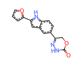 O=C1NN=C(c2ccc3[nH]c(-c4ccco4)cc3c2)CO1